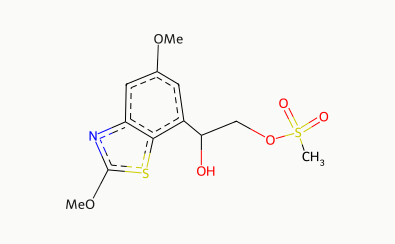 COc1cc(C(O)COS(C)(=O)=O)c2sc(OC)nc2c1